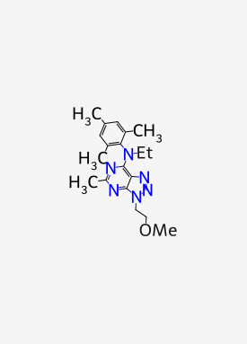 CCN(c1c(C)cc(C)cc1C)c1nc(C)nc2c1nnn2CCOC